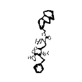 O=C(CNC(=O)OCc1cccc2c1Cc1ccccc1-2)NC(Cc1ccccc1)C(=O)O